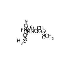 COc1ccc(C(F)n2nc(C(=O)Nc3ccc(OCOC(C)=O)c(C)c3)c3cc(F)ccc32)c(F)c1